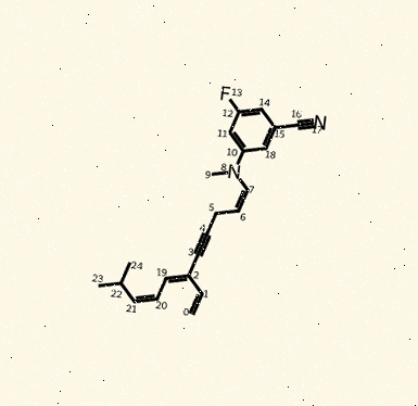 C=C/C(C#CC/C=C\N(C)c1cc(F)cc(C#N)c1)=C\C=C/C(C)C